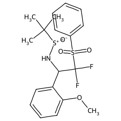 COc1ccccc1C(N[S@@+]([O-])C(C)(C)C)C(F)(F)S(=O)(=O)c1ccccc1